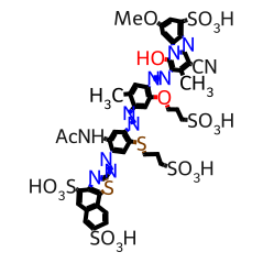 COc1cc(S(=O)(=O)O)c2nc3c(C#N)c(C)c(N=Nc4cc(C)c(N=Nc5cc(NC(C)=O)c(N=Nc6nc7c(S(=O)(=O)O)cc8cc(S(=O)(=O)O)ccc8c7s6)cc5SCCCS(=O)(=O)O)cc4OCCCS(=O)(=O)O)c(O)n3c2c1